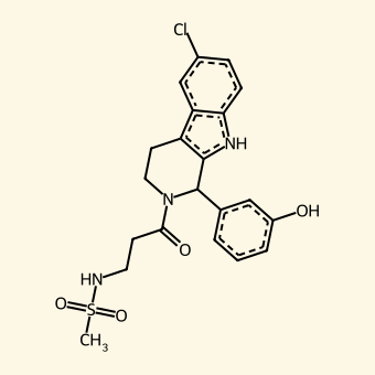 CS(=O)(=O)NCCC(=O)N1CCc2c([nH]c3ccc(Cl)cc23)C1c1cccc(O)c1